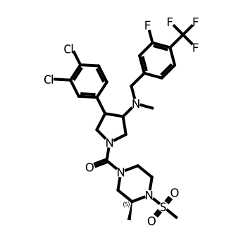 C[C@H]1CN(C(=O)N2CC(c3ccc(Cl)c(Cl)c3)C(N(C)Cc3ccc(C(F)(F)F)c(F)c3)C2)CCN1S(C)(=O)=O